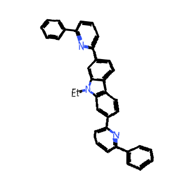 CCn1c2cc(-c3cccc(-c4ccccc4)n3)ccc2c2ccc(-c3cccc(-c4ccccc4)n3)cc21